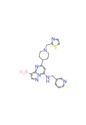 Bc1cnn2c(NCc3cccnc3)cc(C3CCN(Cc4nccs4)CC3)nc12